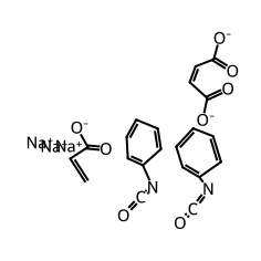 C=CC(=O)[O-].O=C([O-])/C=C\C(=O)[O-].O=C=Nc1ccccc1.O=C=Nc1ccccc1.[Na+].[Na+].[Na+]